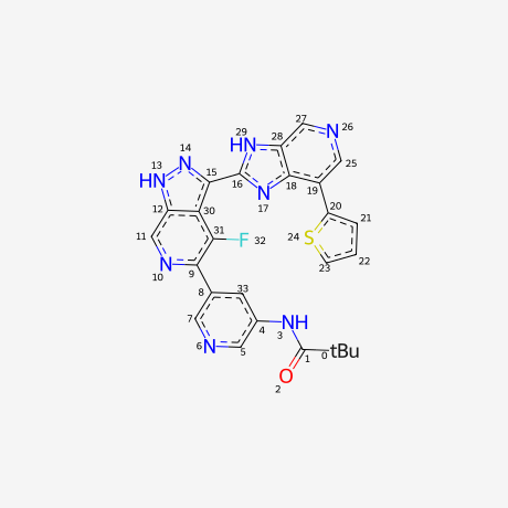 CC(C)(C)C(=O)Nc1cncc(-c2ncc3[nH]nc(-c4nc5c(-c6cccs6)cncc5[nH]4)c3c2F)c1